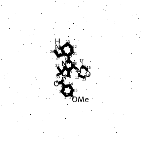 COc1ccc(C(=O)N2Cc3c(N4CCOC[C@H]4C)nc(-c4cccc5[nH]ccc45)nc3C2(C)C)cc1